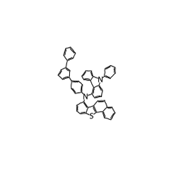 c1ccc(-c2cccc(-c3ccc(N(c4cccc5sc6c7ccccc7ccc6c45)c4cccc5c4c4ccccc4n5-c4ccccc4)cc3)c2)cc1